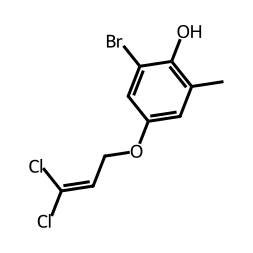 Cc1cc(OCC=C(Cl)Cl)cc(Br)c1O